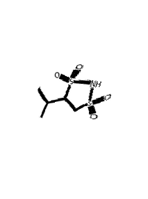 CC(C)C1CS(=O)(=O)NS1(=O)=O